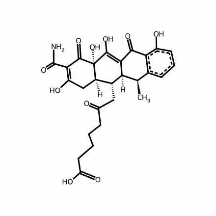 C[C@@H]1c2cccc(O)c2C(=O)C2=C(O)[C@]3(O)C(=O)C(C(N)=O)=C(O)C[C@@H]3[C@@H](CC(=O)CCCCC(=O)O)[C@@H]21